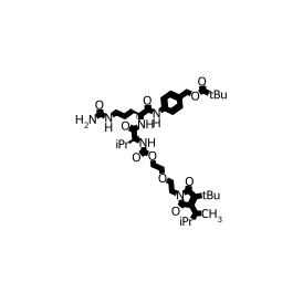 CC(C)C(C)C1=C(C(C)(C)C)C(=O)N(CCOCCOC(=O)N[C@H](C(=O)N[C@@H](CCCNC(N)=O)C(=O)Nc2ccc(COC(=O)C(C)(C)C)cc2)C(C)C)C1=O